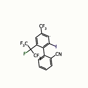 N#Cc1ccccc1-c1c(I)[c]c(C(F)(F)F)cc1C(F)(C(F)(F)F)C(F)(F)F